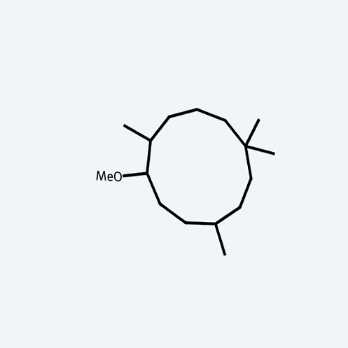 COC1CCC(C)CCC(C)(C)CCCC1C